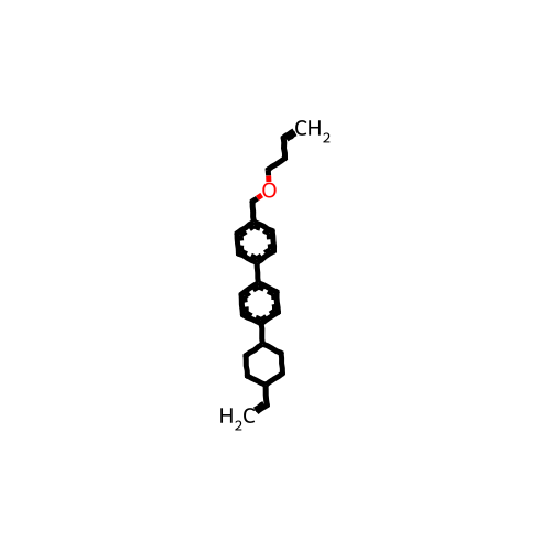 C=CCCOCc1ccc(-c2ccc(C3CCC(C=C)CC3)cc2)cc1